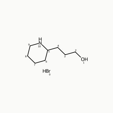 Br.OCCCC1CCCCN1